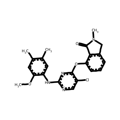 COc1cc(C)c(C)cc1Nc1ncc(Cl)c(Oc2cccc3c2C(=O)N(C)C3)n1